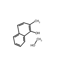 CO.Cc1ccc2ccccc2c1O